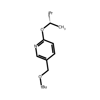 CC(C)[C@H](C)Oc1ccc(COC(C)(C)C)cn1